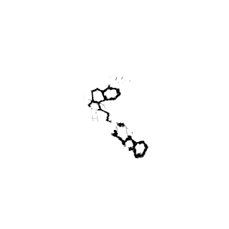 COc1cccc2c1CC[C@@H]1CNC(CCn3cnc4c(sc5ccccc54)c3=O)[C@@H]21